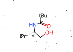 CC(C)[C@@H](CO)NC(=O)C(C)(C)C